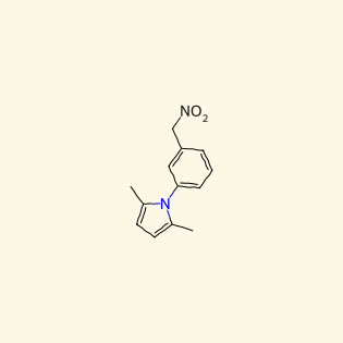 Cc1ccc(C)n1-c1cccc(C[N+](=O)[O-])c1